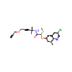 C#CCOCC#CC(C)(C)NC(=O)C(Oc1cc(C)c2ncc(Br)cc2c1)SC